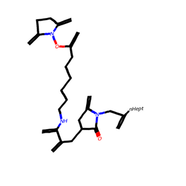 C=C(CCCCCCC)CN1C(=C)CC(CC(=C)C(=C)NCCCCCCC(=C)ON2C(=C)CCC2=C)C1=O